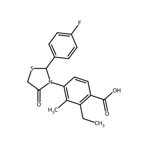 CCc1c(C(=O)O)ccc(N2C(=O)CSC2c2ccc(F)cc2)c1C